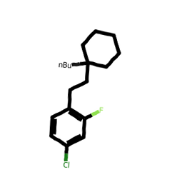 CCCCC1(CCc2ccc(Cl)cc2F)CCCCC1